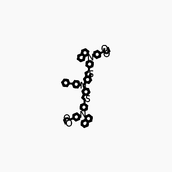 c1ccc(-c2ccc(N(c3ccc4sc(-c5ccc(N(c6ccc(C7OCCO7)cc6)c6cccc7ccccc67)cc5)cc4c3)c3ccc4sc(-c5ccc(N(c6ccc(C7OCCO7)cc6)c6cccc7ccccc67)cc5)cc4c3)cc2)cc1